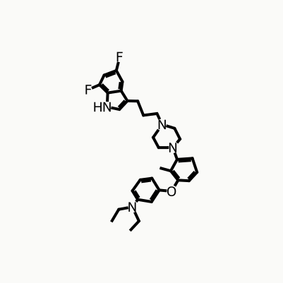 CCN(CC)c1cccc(Oc2cccc(N3CCN(CCCc4c[nH]c5c(F)cc(F)cc45)CC3)c2C)c1